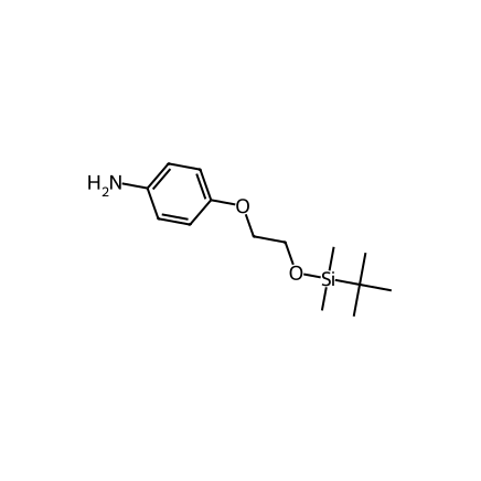 CC(C)(C)[Si](C)(C)OCCOc1ccc(N)cc1